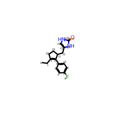 CCC1=C(c2ccc(F)cc2)C(Cc2c[nH]c(=O)[nH]2)CC1